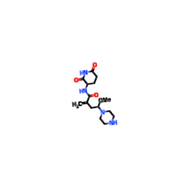 C=C(CC(OC)N1CCNCC1)C(=O)NC1CCC(=O)NC1=O